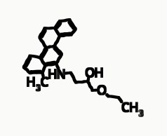 CCCOCC(O)CCNc1cc2c3ccccc3ccc2c2cccc(C)c12